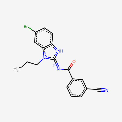 CCCn1/c(=N/C(=O)c2cccc(C#N)c2)[nH]c2ccc(Br)cc21